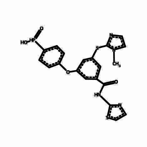 Cn1ccnc1Sc1cc(Oc2ccc([PH](=O)O)cc2)cc(C(=O)Nc2nccs2)c1